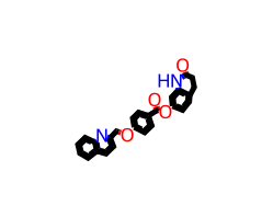 O=C1CCc2ccc(OC(=O)c3ccc(OCc4ccc5ccccc5n4)cc3)cc2N1